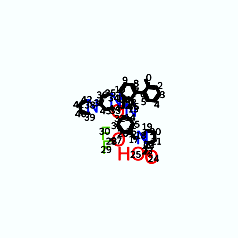 Cc1ccccc1C1=CC=CC(c2nc3cc(CN4CCC[C@H]4C(=O)O)c(OC(F)F)cc3o2)(N2CCC(N3CCCC3)CC2)C1C